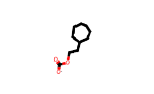 [O]C(=O)OCCC1CCCCCC1